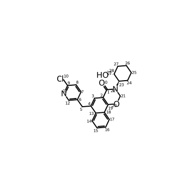 O=C1c2cc(Cc3ccc(Cl)nc3)c3ccccc3c2OCN1[C@@H]1CCCC[C@H]1O